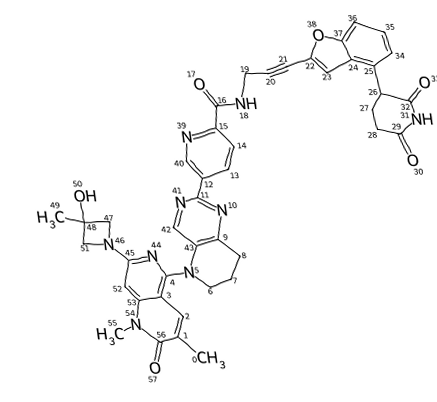 Cc1cc2c(N3CCCc4nc(-c5ccc(C(=O)NCC#Cc6cc7c(C8CCC(=O)NC8=O)cccc7o6)nc5)ncc43)nc(N3CC(C)(O)C3)cc2n(C)c1=O